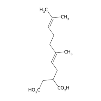 CC(C)=CCC/C(C)=C/CC(CC(=O)O)C(=O)O